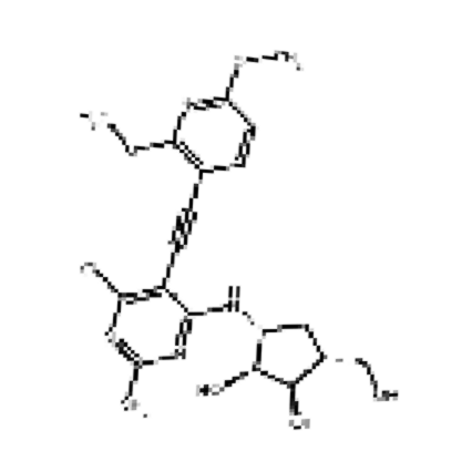 COc1ccc(C#Cc2c(Cl)nc(N)nc2N[C@@H]2C[C@H](CO)[C@@H](O)[C@H]2O)c(OC)n1